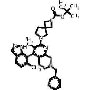 Cc1ccc2cn[nH]c2c1-c1c(C)c(N2CCC3(CN(C(=O)OC(C)(C)C)C3)C2)nc2c1CCN(Cc1ccccc1)C2